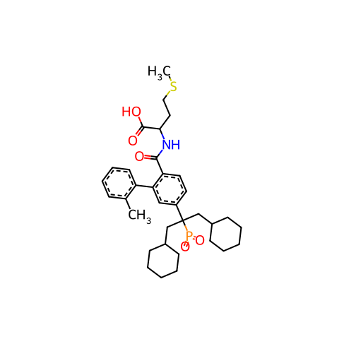 CSCCC(NC(=O)c1ccc(C(CC2CCCCC2)(CC2CCCCC2)P(=O)=O)cc1-c1ccccc1C)C(=O)O